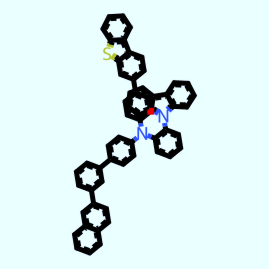 c1cc(-c2ccc(N(c3ccc(-c4ccc5c(c4)sc4ccccc45)cc3)c3ccccc3-n3c4ccccc4c4ccccc43)cc2)cc(-c2ccc3ccccc3c2)c1